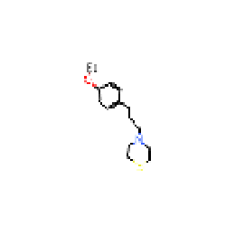 CCOc1ccc(CCCN2CCSCC2)cc1